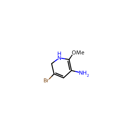 COC1=C(N)C=C(Br)CN1